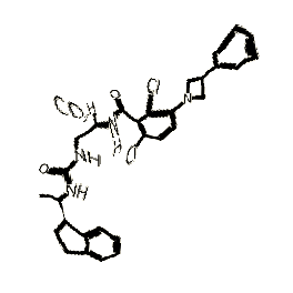 CC(NC(=O)NC[C@H](NC(=O)c1c(Cl)ccc(N2CC(c3ccccc3)C2)c1Cl)C(=O)O)[C@@H]1CCc2ccccc21